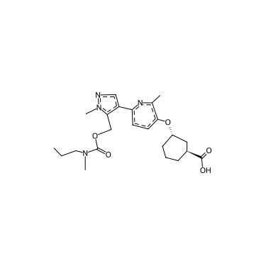 CCCN(C)C(=O)OCc1c(-c2ccc(O[C@H]3CCC[C@H](C(=O)O)C3)c(C)n2)cnn1C